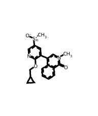 Cn1cc(-c2cc([S@+](C)[O-])cnc2OCC2CC2)c2ccccc2c1=O